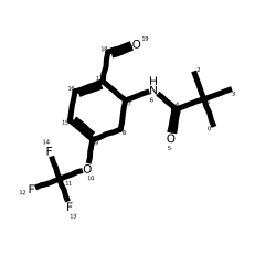 CC(C)(C)C(=O)NC1CC(OC(F)(F)F)=CC=C1C=O